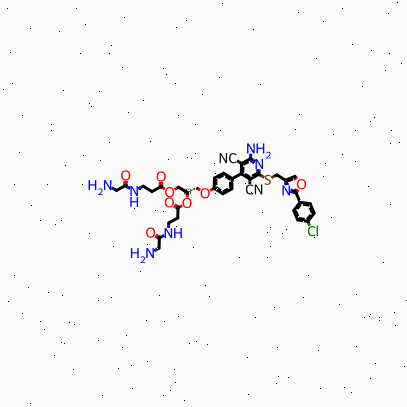 N#Cc1c(N)nc(SCc2coc(-c3ccc(Cl)cc3)n2)c(C#N)c1-c1ccc(OC[C@@H](COC(=O)CCNC(=O)CN)OC(=O)CCNC(=O)CN)cc1